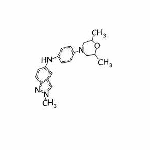 CC1CN(c2ccc(Nc3ccc4nn(C)cc4c3)cc2)CC(C)O1